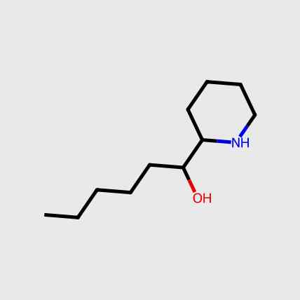 CCCCCC(O)C1CCCCN1